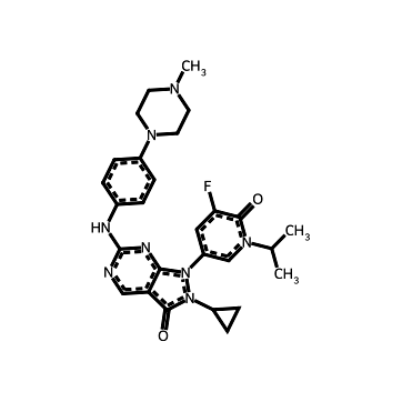 CC(C)n1cc(-n2c3nc(Nc4ccc(N5CCN(C)CC5)cc4)ncc3c(=O)n2C2CC2)cc(F)c1=O